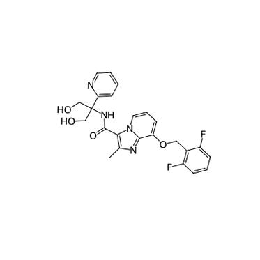 Cc1nc2c(OCc3c(F)cccc3F)cccn2c1C(=O)NC(CO)(CO)c1ccccn1